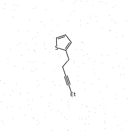 CCC#CCCc1cccs1